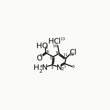 Cc1nc(N)c(C(=O)O)c(C)c1Cl.Cl